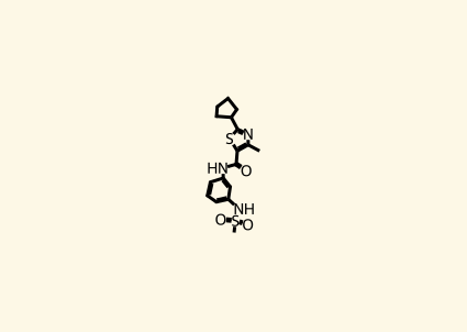 Cc1nc(C2CCCC2)sc1C(=O)Nc1cccc(NS(C)(=O)=O)c1